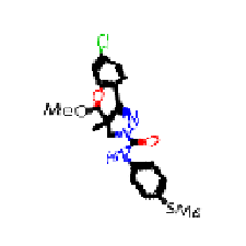 COC(=O)C1(C)CN(C(=O)Nc2ccc(SC)cc2)N=C1c1ccc(Cl)cc1